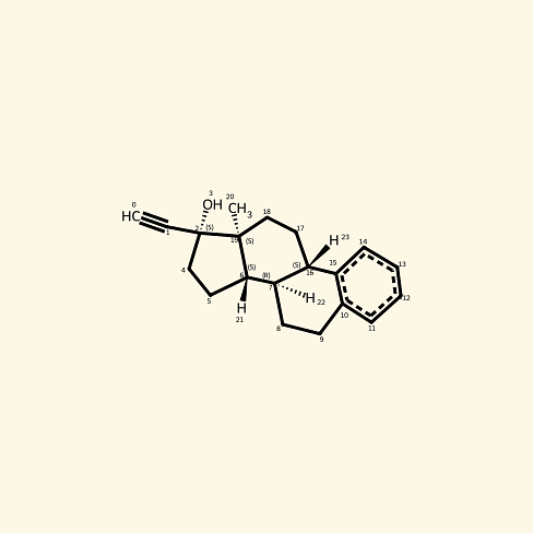 C#C[C@]1(O)CC[C@H]2[C@@H]3CCc4c[c]ccc4[C@H]3CC[C@@]21C